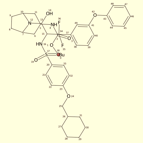 CC(C)(C)OC(=O)NC1CC2CCC(C1)N2C(O)C(NS(=O)(=O)c1ccc(OCC2CCCCC2)cc1)C(F)(F)c1cccc(Oc2ccccc2)c1